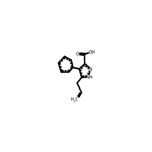 C=CCc1[nH]nc(C(=O)O)c1-c1ccccc1